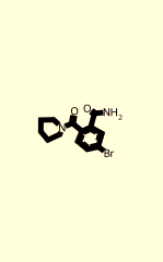 NC(=O)c1cc(Br)ccc1C(=O)N1CCCCC1